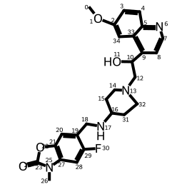 COc1ccc2nccc(C(O)CN3CCC(NCc4cc5oc(=O)n(C)c5cc4F)CC3)c2c1